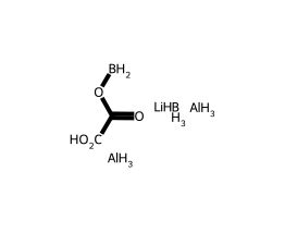 B.BOC(=O)C(=O)O.[AlH3].[AlH3].[LiH]